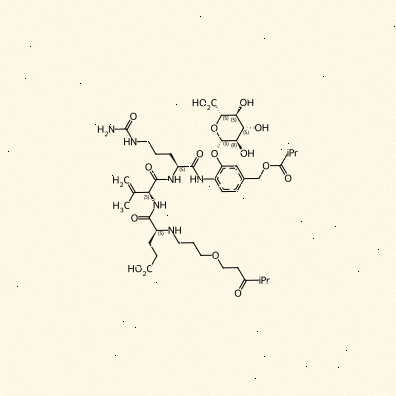 C=C(C)[C@H](NC(=O)[C@H](CCC(=O)O)NCCCOCCC(=O)C(C)C)C(=O)N[C@@H](CCCNC(N)=O)C(=O)Nc1ccc(COC(=O)C(C)C)cc1O[C@@H]1O[C@H](C(=O)O)[C@@H](O)[C@H](O)[C@H]1O